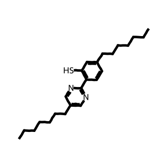 CCCCCCCc1cnc(-c2ccc(CCCCCCC)cc2S)nc1